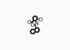 O=c1oc(-c2cccc3ccccc23)nc2c(Cl)cccc12